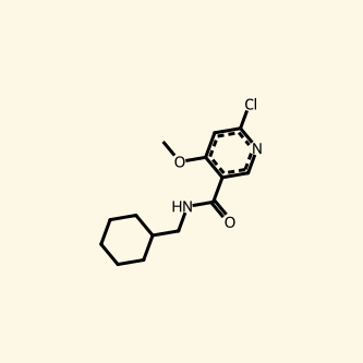 COc1cc(Cl)ncc1C(=O)NCC1CCCCC1